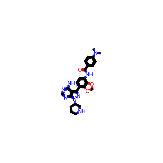 CN(C)c1ccc(C(=O)Nc2ccc(-c3nn([C@@H]4CCCNC4)c4ncnc(N)c34)c3c2OCO3)cc1